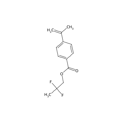 C=C(C)c1ccc(C(=O)OCC(C)(F)F)cc1